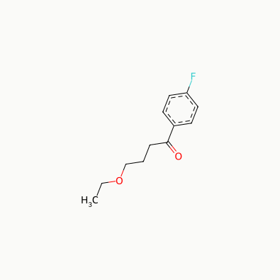 CCOCCCC(=O)c1ccc(F)cc1